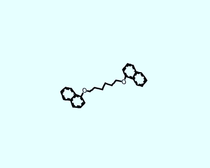 c1ccc2c(OCCCCCCOc3cccc4ccccc34)cccc2c1